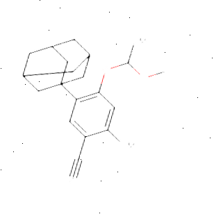 C#Cc1cc(C23CC4CC(CC(C4)C2)C3)c(OC(OC)OCC)cc1OC